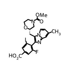 COC(=O)N1CCO[C@@H](Cc2c(-c3c(F)cc(C(=O)O)cc3I)nc3cc(C)ccn23)C1